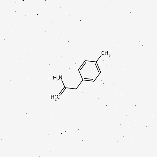 C=C(N)Cc1ccc(C)cc1